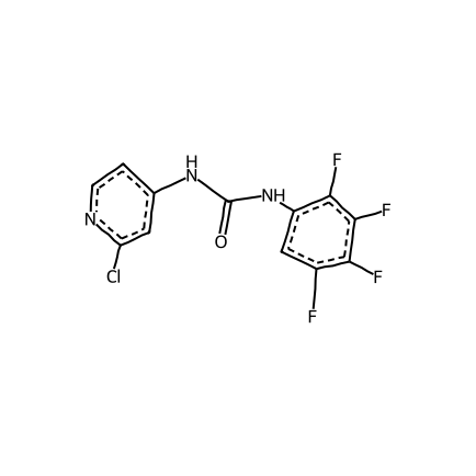 O=C(Nc1ccnc(Cl)c1)Nc1cc(F)c(F)c(F)c1F